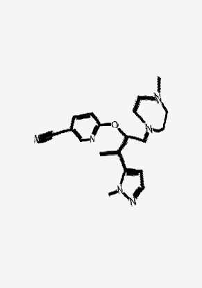 CC(c1ccnn1C)C(CN1CCN(C)CC1)Oc1ccc(C#N)cn1